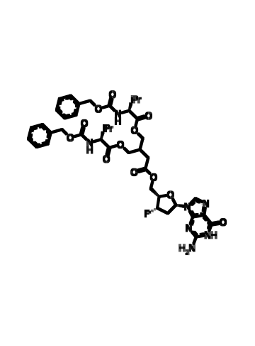 CC(C)[C@H](NC(=O)OCc1ccccc1)C(=O)OCC(COC(=O)[C@@H](NC(=O)OCc1ccccc1)C(C)C)CC(=O)OC[C@H]1O[C@@H](n2cnc3c(=O)[nH]c(N)nc32)C[C@@H]1F